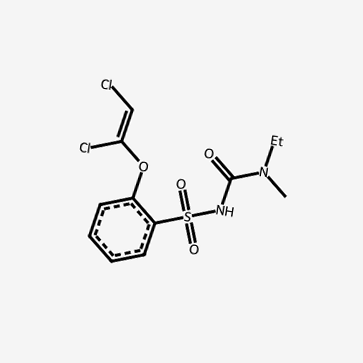 CCN(C)C(=O)NS(=O)(=O)c1ccccc1OC(Cl)=CCl